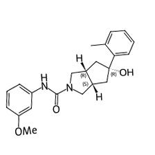 COc1cccc(NC(=O)N2C[C@@H]3C[C@@](O)(c4ccccc4C)C[C@@H]3C2)c1